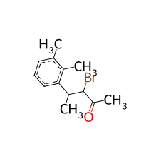 CC(=O)C(Br)C(C)c1cccc(C)c1C